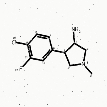 CN1CC(N)C(c2ccc(Cl)c(F)c2)C1